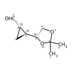 CC1(C)OC[C@@H]([C@H]2C[C@@H]2C=O)O1